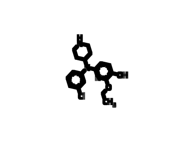 CCOc1nc(N(c2cccc(Cl)c2)C2CCNCC2)ccc1O